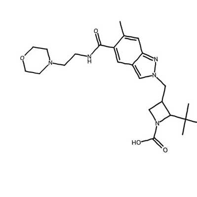 Cc1cc2nn(CC3CN(C(=O)O)C3C(C)(C)C)cc2cc1C(=O)NCCN1CCOCC1